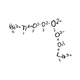 [Bi+3].[La+3].[O-2].[O-2].[O-2].[O-2].[O-2].[Ti+4]